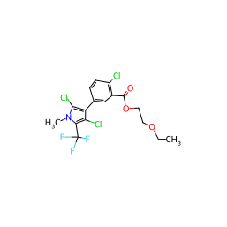 CCOCCOC(=O)c1cc(-c2c(Cl)c(C(F)(F)F)n(C)c2Cl)ccc1Cl